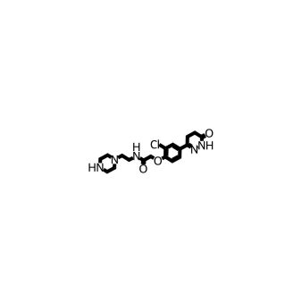 O=C(COc1ccc(C2=NNC(=O)CC2)cc1Cl)NCCN1CCNCC1